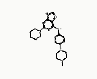 CN1CCN(c2ccc(Nc3nc(N4CCCCC4)cc4[nH]cnc34)cc2)CC1